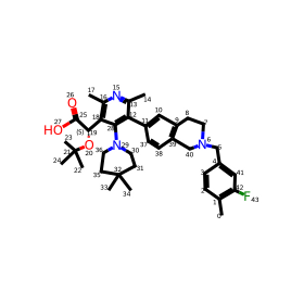 Cc1ccc(CN2CCc3cc(-c4c(C)nc(C)c([C@H](OC(C)(C)C)C(=O)O)c4N4CCC(C)(C)CC4)ccc3C2)cc1F